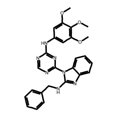 COc1cc(Nc2ncnc(-n3c(NCc4ccccc4)nc4ccccc43)n2)cc(OC)c1OC